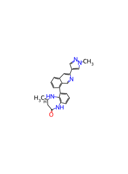 C[C@@H]1CC(=O)Nc2cccc(-c3cccc4cc(-c5cnn(C)c5)ncc34)c2N1